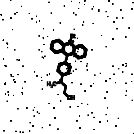 CC[n+]1c2ccccc2c(-c2ccc(N(C)CCO)cc2)c2ccccc21